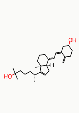 C=C1CC[C@H](O)C/C1=C/C=C1\CCC[C@]2(C)C([C@H](C)CCCC(C)(C)O)=CC[C@@H]12